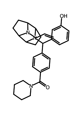 C=CCN1C2CCC1C1CCC2N1C(c1ccc(C(=O)N2CCCCC2)cc1)c1cccc(O)c1